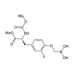 COC(=O)[C@H](Cc1ccc(OCB(O)O)c(F)c1)NC(=O)OC(C)(C)C